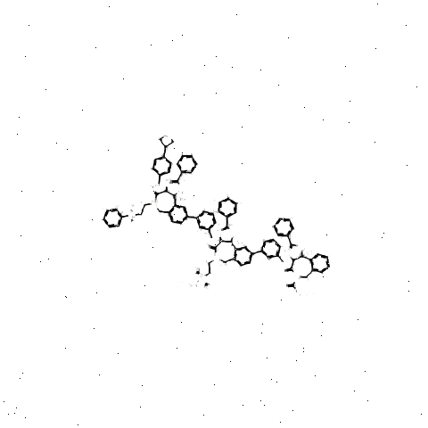 CNC(=O)N1Cc2ccccc2[C@@H]2OC(c3ccccc3)=N[C@]2(Cc2cccc(-c3ccc4c(c3)[C@@H]3OC(c5ccccc5)=N[C@]3(Cc3cccc(-c5ccc6c(c5)[C@@H]5OC(c7ccccc7)=N[C@]5(Cc5ccc(C7COC7)cc5)C(=O)N(CCS(=O)(=O)c5ccccc5)C6)c3)C(=O)N(CCS(=O)(=O)NC)C4)c2)C1=O